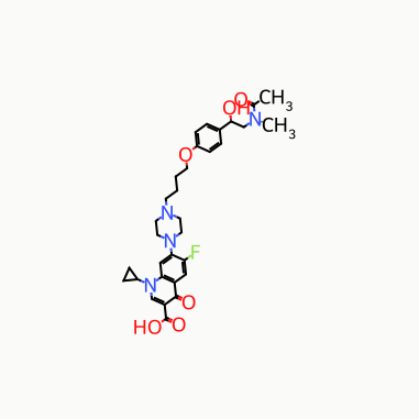 CC(=O)N(C)C[C@H](O)c1ccc(OCCCCN2CCN(c3cc4c(cc3F)c(=O)c(C(=O)O)cn4C3CC3)CC2)cc1